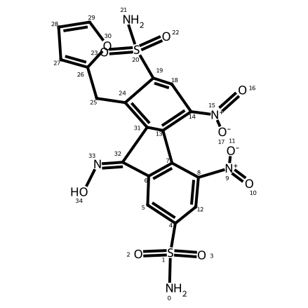 NS(=O)(=O)c1cc2c(c([N+](=O)[O-])c1)-c1c([N+](=O)[O-])cc(S(N)(=O)=O)c(Cc3ccco3)c1C2=NO